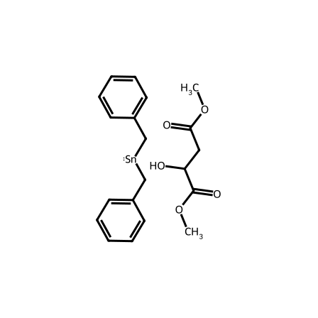 COC(=O)CC(O)C(=O)OC.c1ccc([CH2][Sn][CH2]c2ccccc2)cc1